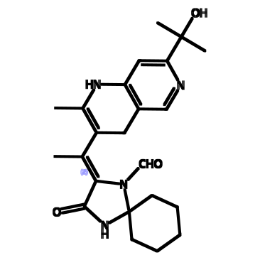 CC1=C(/C(C)=C2/C(=O)NC3(CCCCC3)N2C=O)Cc2cnc(C(C)(C)O)cc2N1